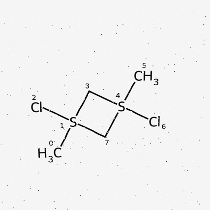 CS1(Cl)CS(C)(Cl)C1